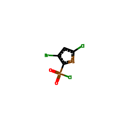 O=S(=O)(Cl)c1sc(Cl)cc1Br